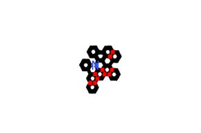 c1ccc(-c2cc(-c3ccccc3)cc(N(c3ccccc3-c3ccccc3)c3c(-c4ccccc4-c4ccccc4)c4ccccc4c4ccccc34)c2)cc1